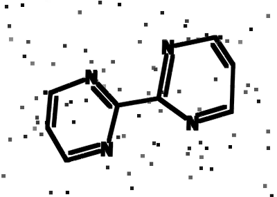 [c]1ccnc(-c2n[c]ccn2)n1